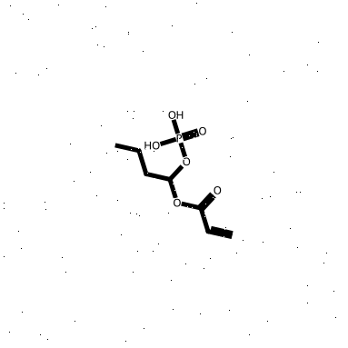 C=CC(=O)OC(CCC)OP(=O)(O)O